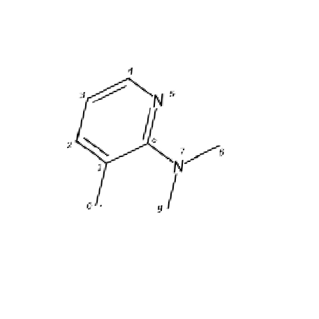 [CH2]c1cccnc1N(C)C